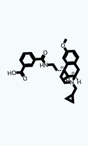 COc1ccc2c(c1)[C@]1(CCNC(=O)c3cccc(C(=O)O)c3)CCN(CC3CC3)[C@H](C2)[C@@H]1C